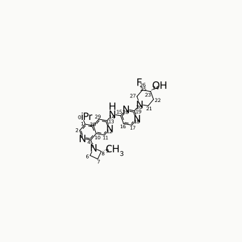 CC(C)c1cnc(N2CC[C@H]2C)c2cnc(Nc3ccnc(N4CC[C@@H](O)[C@@H](F)C4)n3)cc12